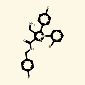 NCc1c(C(=O)NCc2ccc(F)cc2)nn(-c2ccccc2Br)c1-c1ccc(Cl)cc1